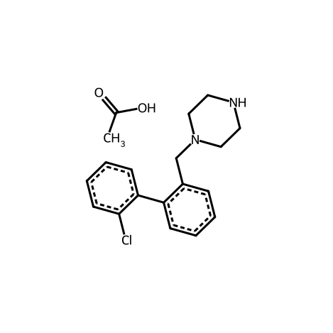 CC(=O)O.Clc1ccccc1-c1ccccc1CN1CCNCC1